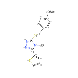 CCn1c(SCc2ccc(OC)cc2)nnc1-c1cccs1